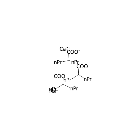 CCCC(CCC)C(=O)[O-].CCCC(CCC)C(=O)[O-].CCCC(CCC)C(=O)[O-].[Ca+2].[Na+]